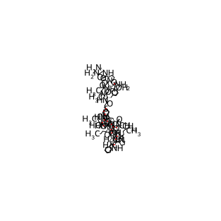 CCCC[C@@H](C(=O)N(C)[C@@H](CCCC)C(=O)N[C@@H](CC(C)C)C(=O)NCCSCC(=O)N[C@@H](Cc1ccc(O)cc1)C(=O)N(C)[C@@H](C)C(=O)N[C@@H](CC(N)=O)C(=O)N1CCCC1C(=O)N[C@@H](CN)C(N)=O)N(C)C(=O)[C@H](Cc1cn(CC(=O)O)c2ccccc12)NC(=O)CNC(=O)[C@H](Cc1c[nH]c2ccccc12)N/C(C)=C1/CCCN1C(=O)CCC(C)C